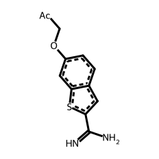 CC(=O)COc1ccc2cc(C(=N)N)sc2c1